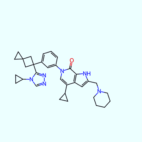 O=c1c2[nH]c(CN3CCCCC3)cc2c(C2CC2)cn1-c1cccc(C2(c3nncn3C3CC3)CC3(CC3)C2)c1